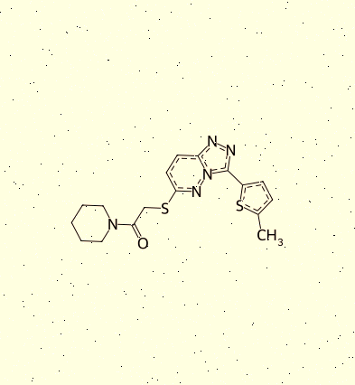 Cc1ccc(-c2nnc3ccc(SCC(=O)N4CCCCC4)nn23)s1